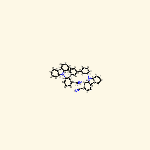 N#Cc1ccc2c3ccccc3n(-c3cccc(-c4cccc(-c5c(C#N)cccc5-n5c6ccccc6c6ccccc65)c4)c3)c2c1